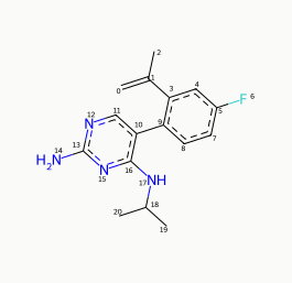 C=C(C)c1cc(F)ccc1-c1cnc(N)nc1NC(C)C